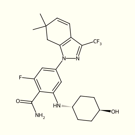 CC1(C)C=Cc2c(C(F)(F)F)nn(-c3cc(F)c(C(N)=O)c(N[C@H]4CC[C@H](O)CC4)c3)c2C1